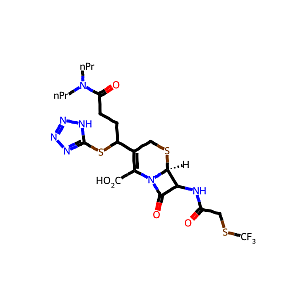 CCCN(CCC)C(=O)CCC(Sc1nnn[nH]1)C1=C(C(=O)O)N2C(=O)C(NC(=O)CSC(F)(F)F)[C@@H]2SC1